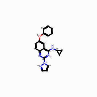 c1ccc(Oc2ccc3nc(-n4cccn4)nc(NC4CC4)c3c2)cc1